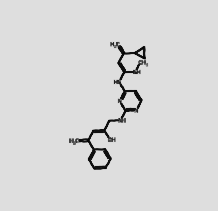 C=C(/C=C(\O)CNc1nccc(N/C(=C/C(=C)C2CC2)NC)n1)c1ccccc1